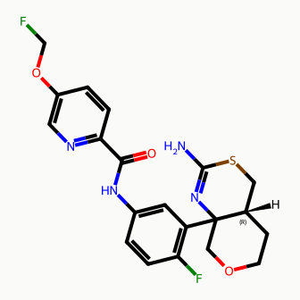 NC1=NC2(c3cc(NC(=O)c4ccc(OCF)cn4)ccc3F)COCC[C@H]2CS1